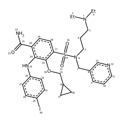 CCN(CC)CCCN(Cc1cccnc1)S(=O)(=O)c1ccc(C(N)=O)c(Nc2ccc(I)cc2)c1OCC1CC1